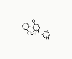 O=c1ccn(Cc2cncnc2)c(O)c1-c1ccccc1Cl